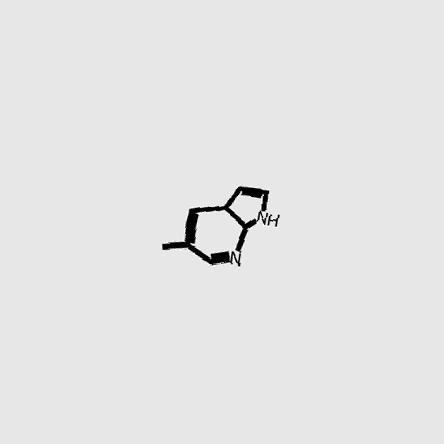 CC1=CC2C=CNC2N=C1